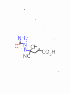 CC(C#N)(CCC(=O)O)N=NC(N)=O